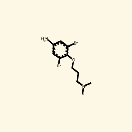 CN(C)CCCOc1c(Br)cc(N)cc1Br